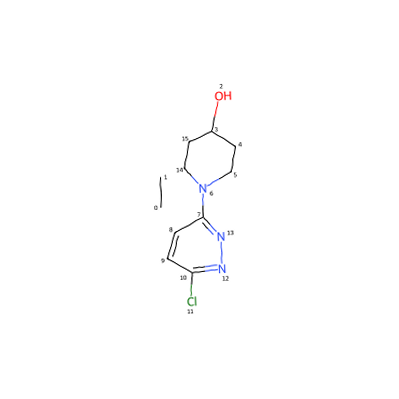 CC.OC1CCN(c2ccc(Cl)nn2)CC1